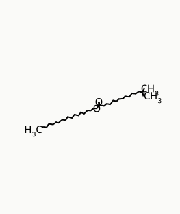 CCCCCCCCCCCCCCCCCCOC(=O)CCCCCCCCCCCCC(C)CC